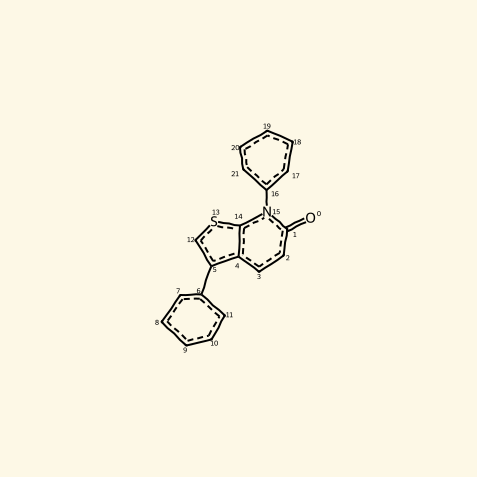 O=c1ccc2c(-c3ccccc3)csc2n1-c1ccccc1